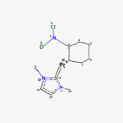 ClN(Cl)C1CCCCC1.Cn1ccn(C)[c]1=[Pt]